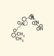 Cc1cccc(OCCCC(=O)N2CCCc3c(-c4cnn(Cc5nc(C(=O)O)co5)c4)cccc32)c1C